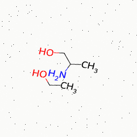 CC(N)CO.CCO